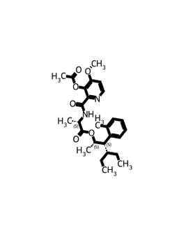 CCC(CC)[C@@H](c1ccccc1C)[C@H](C)OC(=O)[C@H](C)NC(=O)c1nccc(OC)c1OC(C)=O